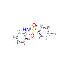 Cc1ccc(S(=O)(=O)Nc2c[c]ccc2)cc1